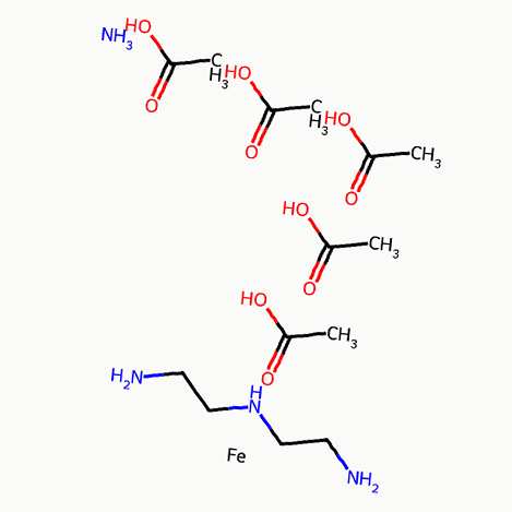 CC(=O)O.CC(=O)O.CC(=O)O.CC(=O)O.CC(=O)O.N.NCCNCCN.[Fe]